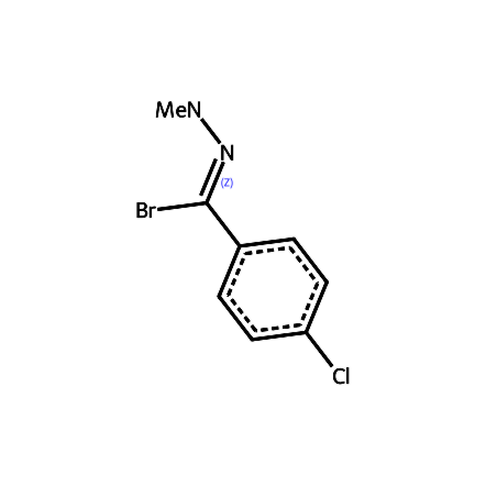 CN/N=C(\Br)c1ccc(Cl)cc1